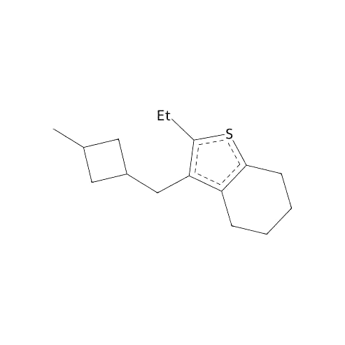 CCc1sc2c(c1CC1CC(C)C1)CCCC2